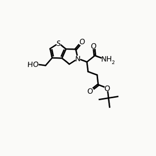 CC(C)(C)OC(=O)CCC(C(N)=O)N1Cc2c(CO)csc2C1=O